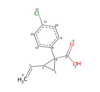 C=CC1CC1(C(=O)O)c1ccc(Cl)cc1